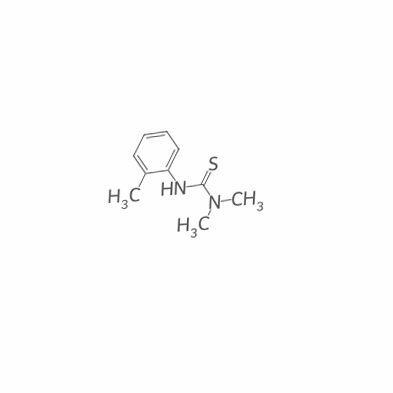 Cc1ccccc1NC(=S)N(C)C